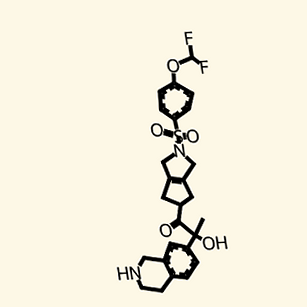 CC(O)(C(=O)C1CC2=C(C1)CN(S(=O)(=O)c1ccc(OC(F)F)cc1)C2)c1ccc2c(c1)CNCC2